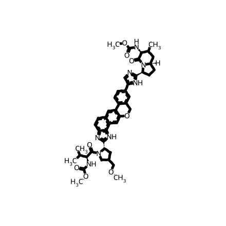 COCC1C[C@@H](c2nc3ccc4cc5c(cc4c3[nH]2)OCc2cc(-c3cnc([C@@H]4CC[C@@H]6CC(C)[C@H](NC(=O)OC)C(=O)N64)[nH]3)ccc2-5)N(C(=O)[C@@H](NC(=O)OC)C(C)C)C1